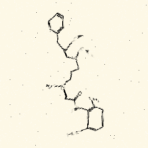 Cc1cccc(C)c1NC(=O)CN(C)CCCN(C)CC(O)Cc1ccccc1